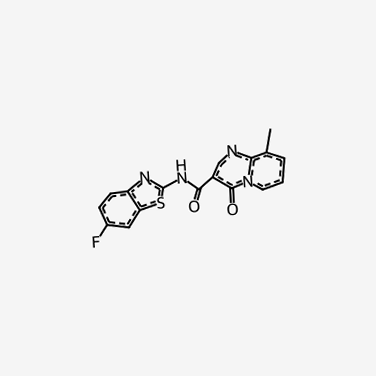 Cc1cccn2c(=O)c(C(=O)Nc3nc4ccc(F)cc4s3)cnc12